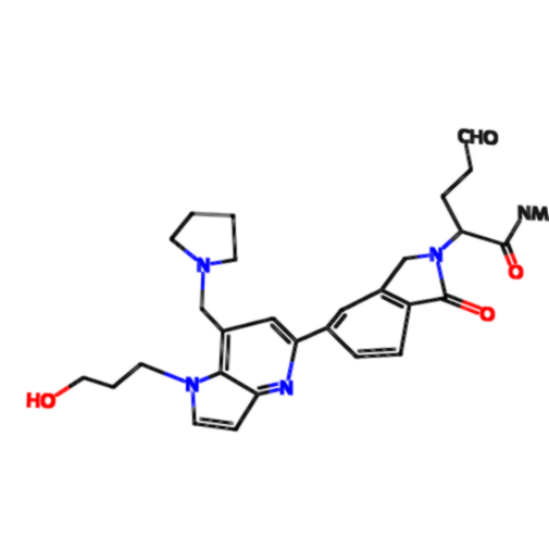 CNC(=O)C(CCC=O)N1Cc2cc(-c3cc(CN4CCCC4)c4c(ccn4CCCO)n3)ccc2C1=O